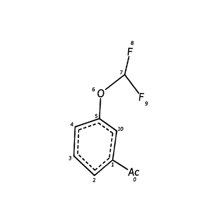 CC(=O)c1cccc(OC(F)F)c1